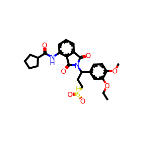 CCOc1cc(C(CC[SH](=O)=O)N2C(=O)c3cccc(NC(=O)C4CCCC4)c3C2=O)ccc1OC